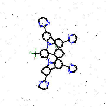 Fc1cccc(F)c1-c1c(-n2c3ccc(-c4ncccn4)cc3c3cc(-c4ncccn4)ccc32)cc(C(F)(F)F)cc1-n1c2ccc(-c3ncccn3)cc2c2cc(-c3ncccn3)ccc21